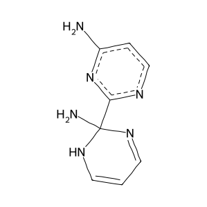 Nc1ccnc(C2(N)N=CC=CN2)n1